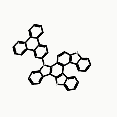 c1ccc2c(c1)sc1ccc3c(c12)c1c2ccccc2sc1c1c2ccccc2n(-c2ccc4c5ccccc5c5ccccc5c4c2)c31